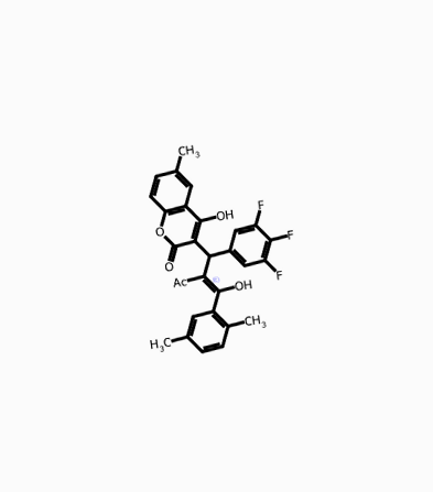 CC(=O)/C(=C(/O)c1cc(C)ccc1C)C(c1cc(F)c(F)c(F)c1)c1c(O)c2cc(C)ccc2oc1=O